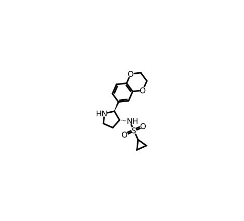 O=S(=O)(N[C@@H]1CCN[C@H]1c1ccc2c(c1)OCCO2)C1CC1